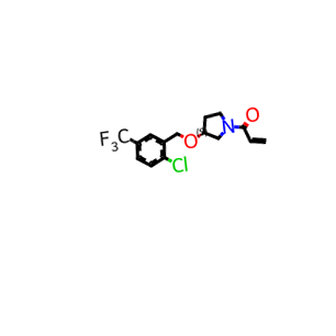 C=CC(=O)N1CC[C@H](OCc2cc(C(F)(F)F)ccc2Cl)C1